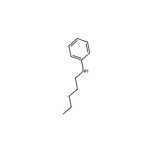 CC[CH]CCNc1ccccc1